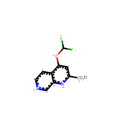 CCOC(=O)c1cc(OC(F)F)c2ccncc2n1